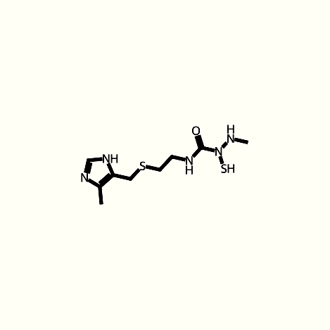 CNN(S)C(=O)NCCSCc1[nH]cnc1C